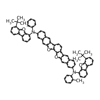 Cc1ccccc1N(c1ccc2cc3c(cc2c1)oc1c3ccc2c3cc4ccc(N(c5ccccc5)c5cccc6c5oc5c(C(C)(C)C)cccc56)cc4cc3oc21)c1cccc2c1oc1c(C(C)(C)C)cccc12